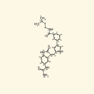 CN(C)CCNC(=O)c1cccc(-c2c[nH]c(C=C3C(=O)Nc4ccc(NC(N)=O)cc43)c2)c1